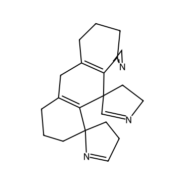 C1=NCCC12C1=C(CCCC13CC=NC3)CC1=C2C2(CCC=N2)CCC1